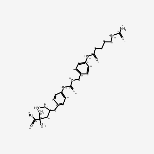 CNC(Cc1ccc(NC(=O)OCc2ccc(NC(=O)CCCCNC(N)=O)cc2)cc1)CC(C)(C)C(=O)O